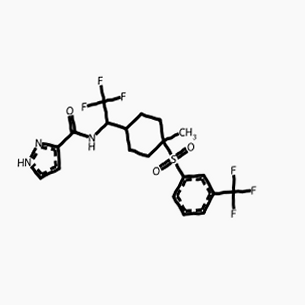 CC1(S(=O)(=O)c2cccc(C(F)(F)F)c2)CCC(C(NC(=O)c2cc[nH]n2)C(F)(F)F)CC1